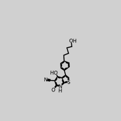 N#Cc1c(O)c2c(-c3ccc(CCCCO)cc3)csc2[nH]c1=O